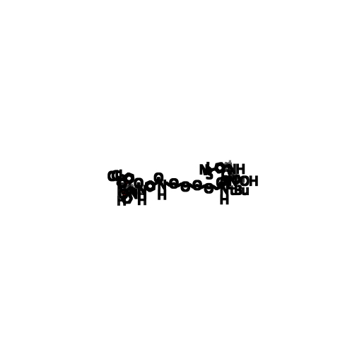 Cc1ncsc1-c1ccc([C@H](C)NC(=O)[C@@H]2C[C@@H](O)CN2C(=O)C(NC(=O)CCOCCOCCOCCOCCNC(=O)c2ccc(NC(=O)[C@@H]3NC4(CCCCC4)[C@@]4(C(=O)Nc5cc(Cl)ccc54)[C@H]3c3cccc(Cl)c3F)cc2)C(C)(C)C)cc1